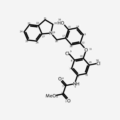 COC(=O)C(=O)Nc1cc(Cl)c(Oc2ccc(O)c(CN3CCc4ccccc43)c2)c(Cl)c1